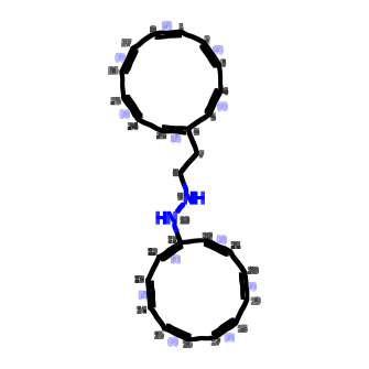 C1=C\C=C/C=C\C(CCNNC2=C/C=C\C=C/C=C\C=C/C=C\2)=C/C=C\C=C/1